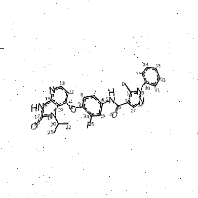 Cc1c(C(=O)Nc2ccc(Oc3ccnc4[nH]c(=O)n(C(C)C)c34)c(F)c2)cnn1-c1ccccc1